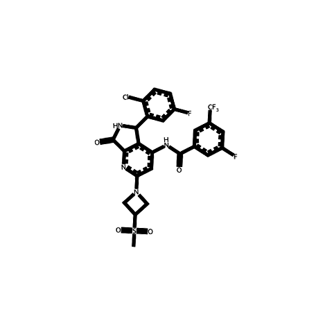 CS(=O)(=O)C1CN(c2cc(NC(=O)c3cc(F)cc(C(F)(F)F)c3)c3c(n2)C(=O)NC3c2cc(F)ccc2Cl)C1